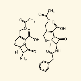 CC(=O)OCC1=C(C(=O)O)N2C(=O)[C@@H](N)[C@H]2SC1.CC(=O)OCC1=C(C(=O)O)N2C(=O)[C@@H](NC(=O)Cc3ccccc3)[C@H]2SC1